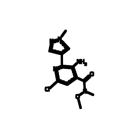 CON(C)C(=O)c1cc(Cl)nc(-c2cnn(C)c2)c1N